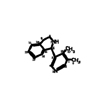 Cc1[c]ncc(C2NCCc3ccccc32)c1C